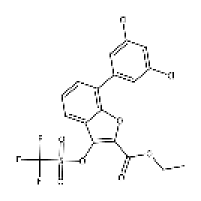 CCOC(=O)c1oc2c(-c3cc(Cl)cc(Cl)c3)cccc2c1OS(=O)(=O)C(F)(F)F